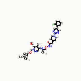 CC(CONC(=O)CC1=CCN(c2ncc(-c3ccccc3F)cn2)CC1)NC1=C(C(F)(F)F)C(=C=O)N(COCC[Si](C)(C)C)N=C1